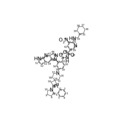 CC(C)c1ccccc1[C@@H]1CCCN1C1CC2(CCN(c3ccc(C(=O)NS(=O)(=O)c4cnc(NCC5CCCCC5)c([N+](=O)[O-])c4)c(-n4ncc5nc6[nH]ccc6cc54)c3)CC2)C1